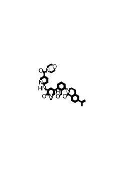 C=C(C)c1ccc2c(c1)CCN(c1cccc(-c3cc(Nc4ccc(C(=O)N5CCOCC5)cn4)c(=O)n(C)c3)c1CO)C2=O